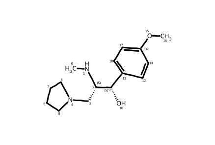 CN[C@@H](CN1CCCC1)[C@@H](O)c1ccc(OC)cc1